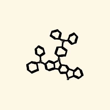 c1ccc(N(c2ccccc2)c2ccc(-n3c4cc(N(c5ccccc5)c5ccccc5)ccc4c4cc5sc6ccccc6c5cc43)cc2)cc1